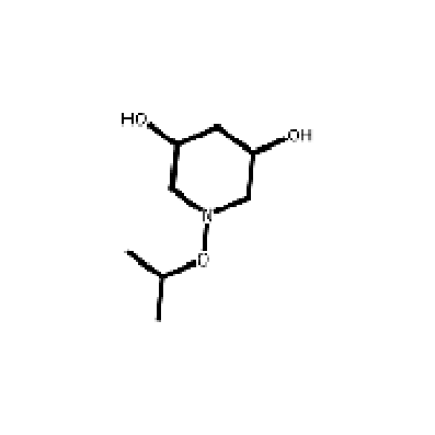 CC(C)ON1CC(O)CC(O)C1